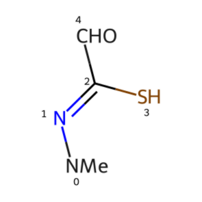 CN/N=C(\S)C=O